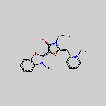 CCn1c(=Cc2cccc[n+]2C)s/c(=C2/Sc3ccccc3N2C)c1=O